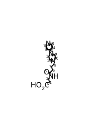 O=C(O)CCNC(=O)CCCN1CCN(c2ccncc2)CC1